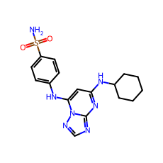 NS(=O)(=O)c1ccc(Nc2cc(NC3CCCCC3)nc3ncnn23)cc1